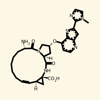 Cn1ccnc1-c1cc2nccc(O[C@@H]3C[C@H]4C(=O)N[C@]5(C(=O)O)C[C@H]5C=CCCCCC[C@H](N)C(=O)N4C3)c2s1